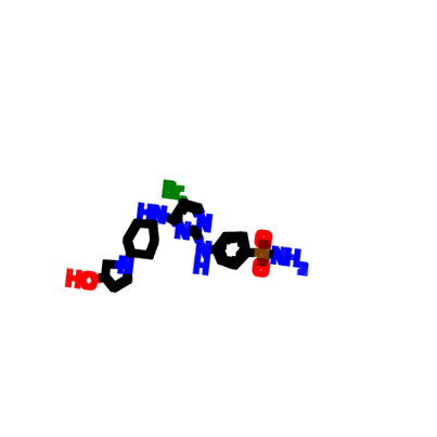 NS(=O)(=O)c1ccc(Nc2ncc(Br)c(NC3CCC(N4CCC(O)C4)CC3)n2)cc1